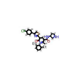 CCc1cccc(CC)c1-n1c(C)c(C(=O)NC2CCNC2)cc(-c2nc(-c3ccc(Cl)cc3)cs2)c1=O